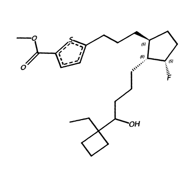 CCC1(C(O)CCC[C@@H]2[C@@H](CCCc3ccc(C(=O)OC)s3)CC[C@@H]2F)CCC1